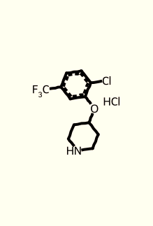 Cl.FC(F)(F)c1ccc(Cl)c(OC2CCNCC2)c1